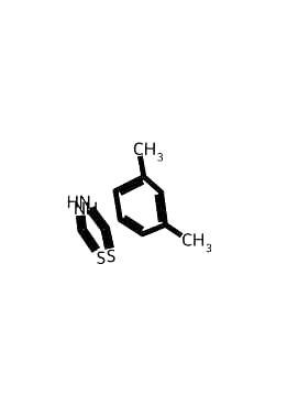 Cc1cccc(C)c1.N=C=S.N=C=S